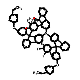 C=Cc1ccc(Oc2ccc(C3(c4cc(F)c(F)c(F)c4F)c4ccccc4-c4ccc(N(c5ccc6c(c5)C(C)(C)c5ccccc5-6)c5ccc6c(c5)C(c5ccc(Oc7ccc(C=C)cc7)cc5)(c5cc(F)c(F)c(F)c5F)c5ccccc5-6)cc43)cc2)cc1